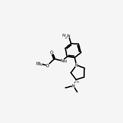 CN(C)[C@H]1CCN(c2ccc(N)cc2NC(=O)OC(C)(C)C)C1